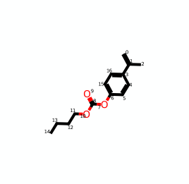 C=C(C)c1ccc(OC(=O)OCCCC)cc1